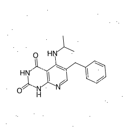 CC(C)Nc1c(Cc2ccccc2)cnc2[nH]c(=O)[nH]c(=O)c12